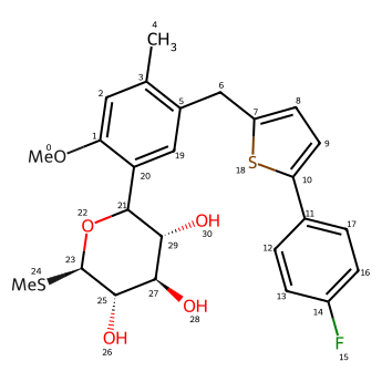 COc1cc(C)c(Cc2ccc(-c3ccc(F)cc3)s2)cc1C1O[C@H](SC)[C@@H](O)[C@H](O)[C@H]1O